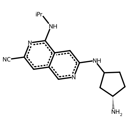 CC(C)Nc1nc(C#N)cc2cnc(NC3CC[C@H](N)C3)cc12